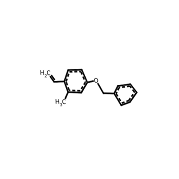 C=Cc1ccc(OCc2ccccc2)cc1C